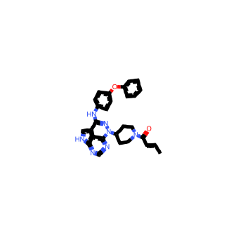 CC=CC(=O)N1CCC(N2N=C(Nc3ccc(Oc4ccccc4)cc3)c3c[nH]c4ncnc2c34)CC1